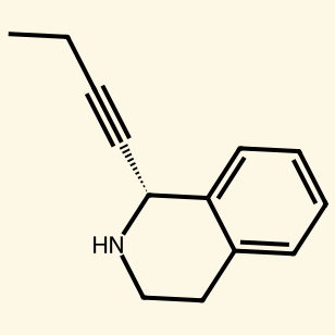 CCC#C[C@H]1NCCc2ccccc21